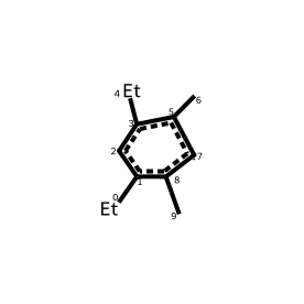 CCc1cc(CC)c(C)[c]c1C